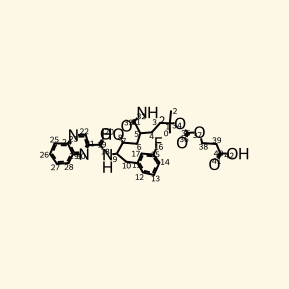 CC(C)(CCC(CC(O)C(Cc1cccc(F)c1)NC(=O)c1cnc2ccccc2n1)C(N)=O)OC(=O)OCCC(=O)O